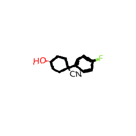 N#C[C@]1(c2ccc(F)cc2)CC[C@@H](O)CC1